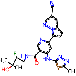 Cc1nnc(Nc2cc(-c3ccc4cc(C#N)cnn34)ncc2C(=O)NCC(F)C(C)(C)O)s1